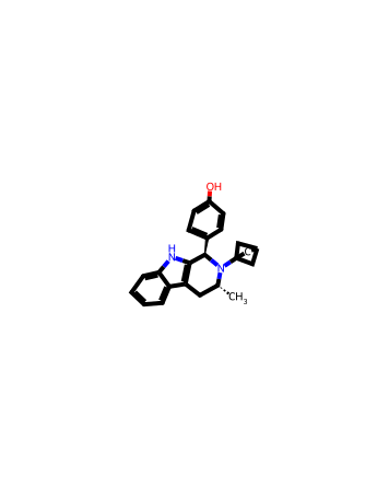 C[C@@H]1Cc2c([nH]c3ccccc23)[C@@H](c2ccc(O)cc2)N1C12CC(C1)C2